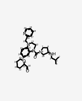 CC(C)CNC1CCN(C(=O)N2CCN(Cc3ccccn3)c3ccccc32)C1.O=CC1CCCCO1